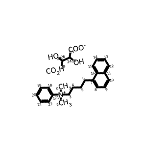 C[N+](C)(CCCCc1cccc2ccccc12)c1ccccc1.O=C([O-])C(O)C(O)C(=O)O